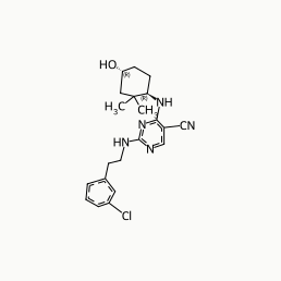 CC1(C)C[C@H](O)CC[C@H]1Nc1nc(NCCc2cccc(Cl)c2)ncc1C#N